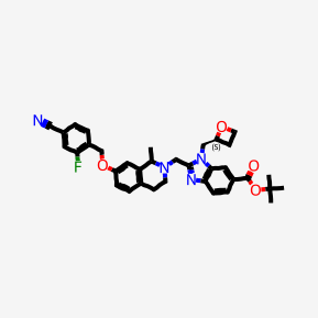 CC1c2cc(OCc3ccc(C#N)cc3F)ccc2CCN1Cc1nc2ccc(C(=O)OC(C)(C)C)cc2n1C[C@@H]1CCO1